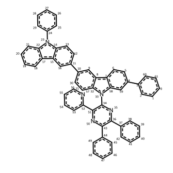 c1ccc(-c2ccc3c4cc(-c5ccc6c(c5)c5ccccc5n6-c5ccccc5)ccc4n(-c4nc(-c5ccccc5)c(-c5ccccc5)nc4-c4ccccn4)c3c2)cc1